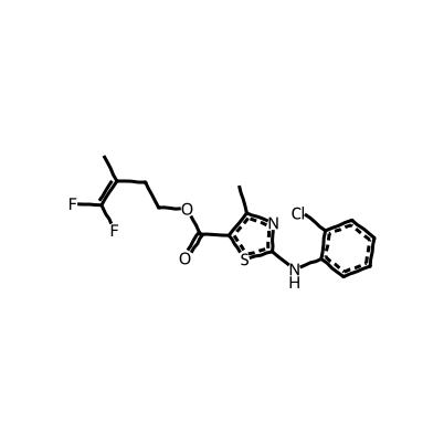 CC(CCOC(=O)c1sc(Nc2ccccc2Cl)nc1C)=C(F)F